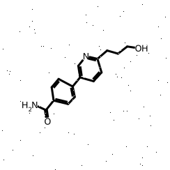 NC(=O)c1ccc(-c2ccc(CCCO)nc2)cc1